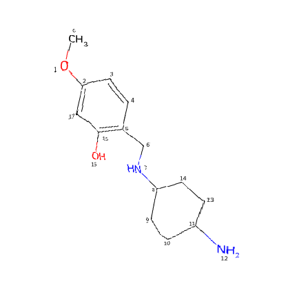 COc1ccc(CNC2CCC(N)CC2)c(O)c1